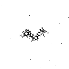 CC(C(=O)Nc1cncc(-c2cnc(N3CCCC3(C)C)nc2)n1)n1cnc2c1c(=O)n(C)c(=O)n2C